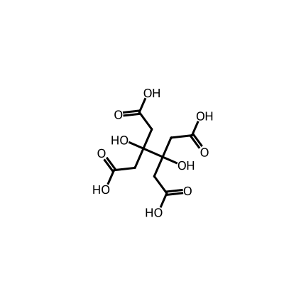 O=C(O)CC(O)(CC(=O)O)C(O)(CC(=O)O)CC(=O)O